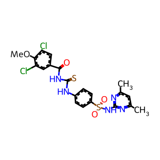 COc1c(Cl)cc(C(=O)NC(=S)Nc2ccc(S(=O)(=O)Nc3nc(C)cc(C)n3)cc2)cc1Cl